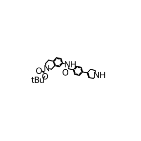 CC(C)(C)OC(=O)N1CCc2ccc(NC(=O)c3ccc(C4=CCNCC4)cc3)cc2C1